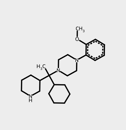 COc1ccccc1N1CCN(C(C)(C2CCCCC2)C2CCCNC2)CC1